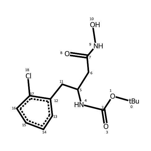 CC(C)(C)OC(=O)NC(CC(=O)NO)Cc1ccccc1Cl